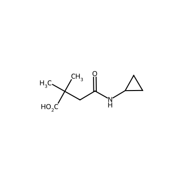 CC(C)(CC(=O)NC1CC1)C(=O)O